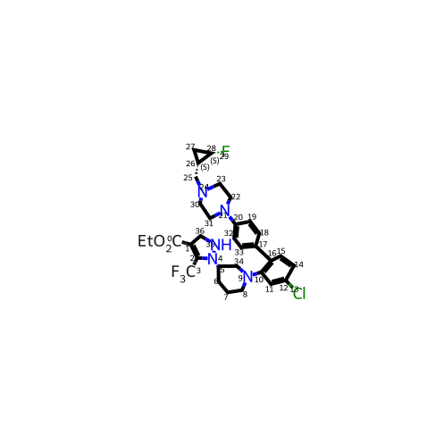 CCOC(=O)C1=C(C(F)(F)F)N(C2CCCN(c3cc(Cl)ccc3-c3ccc(N4CCN(C[C@@H]5C[C@@H]5F)CC4)cc3)C2)NC1